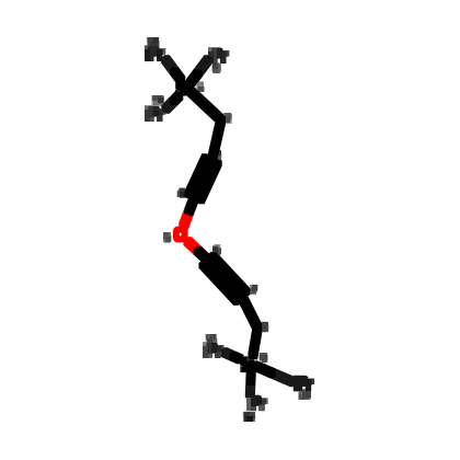 CC(C)[Si](CC#COC#CC[Si](C(C)C)(C(C)C)C(C)C)(C(C)C)C(C)C